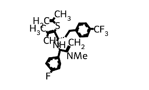 C=C(C)SC(=C(C)C)[C@H](CCc1ccc(C(F)(F)F)cc1)N[C@@H](C(=C)NC)c1ccc(F)cc1